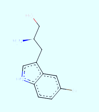 N[C@@H](CO)Cc1c[nH]c2ccc(Br)cc12